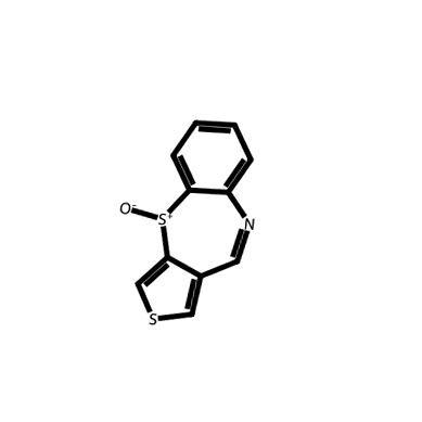 [O-][S+]1c2cscc2C=Nc2ccccc21